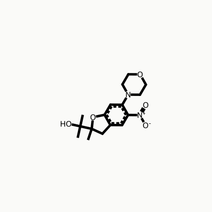 CC(C)(O)C1(C)Cc2cc([N+](=O)[O-])c(N3CCOCC3)cc2O1